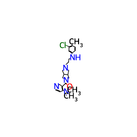 Cc1ccc(NCCCN2CC3CN(C(=O)c4cnccc4N(C)C)CC3C2)cc1Cl